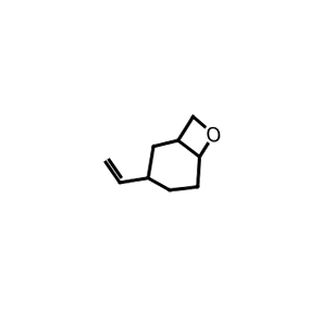 C=CC1CCC2OCC2C1